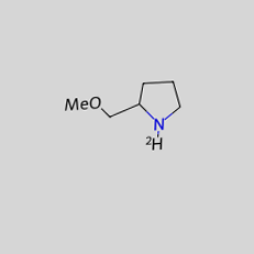 [2H]N1CCCC1COC